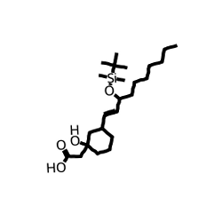 CCCCCCCC(C=CC1CCCC(O)(CC(=O)O)C1)O[Si](C)(C)C(C)(C)C